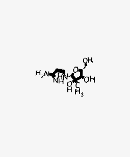 CC1(O)C(O)[C@@H](CO)O[C@H]1N/C=C\C(=N)N